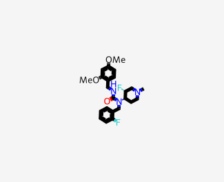 COc1ccc(CNC(=O)N(Cc2ccccc2F)[C@H]2CCN(C)C[C@H]2F)c(OC)c1